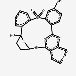 O=S1(=O)c2cc(O)ccc2-c2nc(c3ccccc3n2)NC2CCC(O)(C2)c2ccccc21